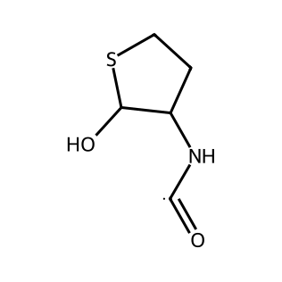 O=[C]NC1CCSC1O